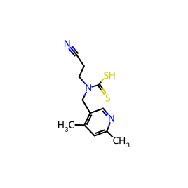 Cc1cc(C)c(CN(CCC#N)C(=S)S)cn1